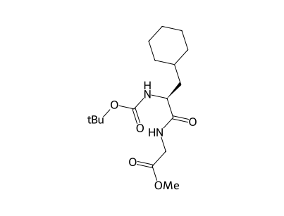 COC(=O)CNC(=O)[C@H](CC1CCCCC1)NC(=O)OC(C)(C)C